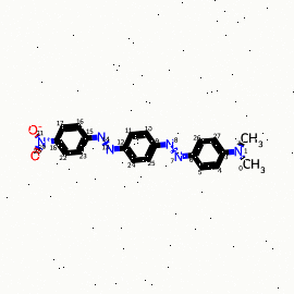 CN(C)c1ccc(N=Nc2ccc(N=Nc3ccc([N+](=O)[O-])cc3)cc2)cc1